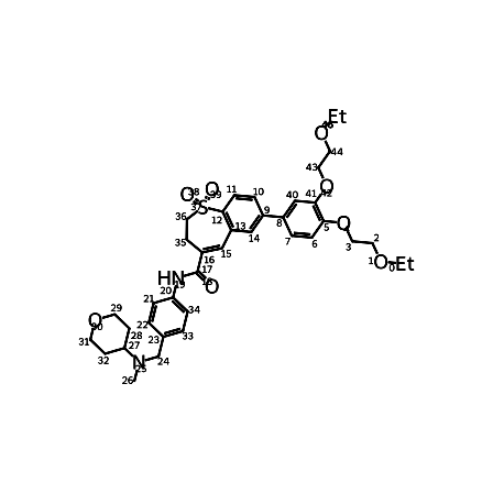 CCOCCOc1ccc(-c2ccc3c(c2)C=C(C(=O)Nc2ccc(CN(C)C4CCOCC4)cc2)CCS3(=O)=O)cc1OCCOCC